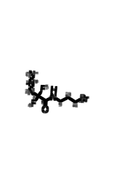 [N-]=[N+]=NC(F)(F)C(=O)NCCCBr